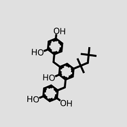 CC(C)(C)CC(C)(C)c1cc(Cc2ccc(O)cc2O)c(O)c(Cc2ccc(O)cc2O)c1